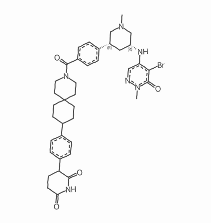 CN1C[C@H](Nc2cnn(C)c(=O)c2Br)C[C@H](c2ccc(C(=O)N3CCC4(CCC(c5ccc(C6CCC(=O)NC6=O)cc5)CC4)CC3)cc2)C1